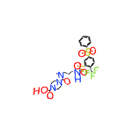 CN(CCCNS(=O)(=O)c1cc(S(=O)(=O)c2ccccc2)ccc1C(F)(F)F)C(=O)N1CCN(C(=O)O)CC1